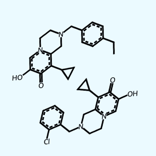 CCc1ccc(CN2CCn3cc(O)c(=O)c(C4CC4)c3C2)cc1.O=c1c(O)cn2c(c1C1CC1)CN(Cc1ccccc1Cl)CC2